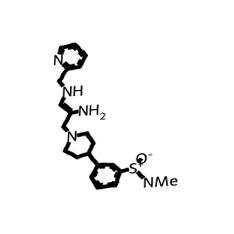 CN[S+]([O-])c1cccc(C2CCN(C/C(N)=C/NCc3ccccn3)CC2)c1